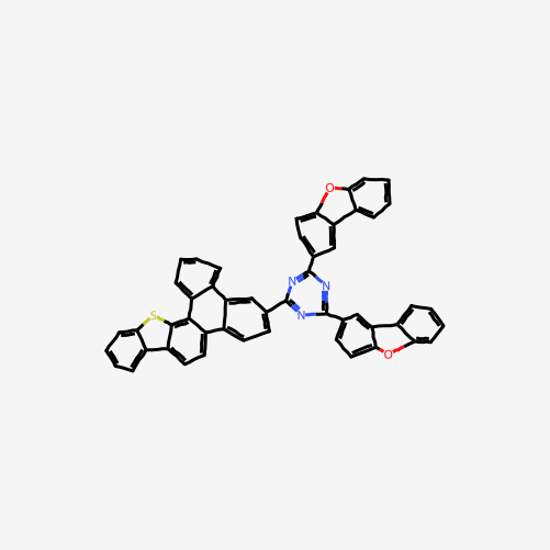 c1ccc2c(c1)oc1ccc(-c3nc(-c4ccc5oc6ccccc6c5c4)nc(-c4ccc5c(c4)c4ccccc4c4c5ccc5c6ccccc6sc54)n3)cc12